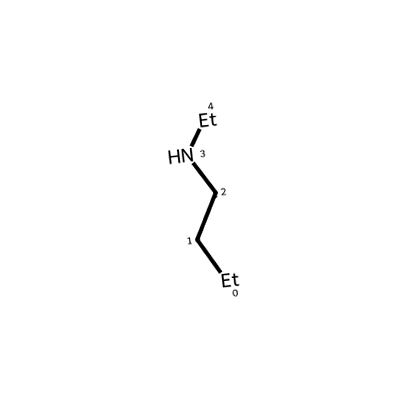 CCC[CH]NCC